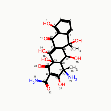 CC1(O)c2cccc(O)c2C(=O)C2=C(O)C3(O)C(=O)C(C(N)=O)=C(O)[C@@](C)(N)C3C(O)C21